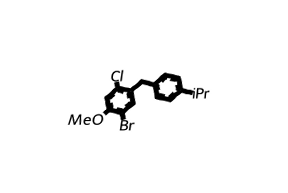 COc1cc(Cl)c(Cc2ccc(C(C)C)cc2)cc1Br